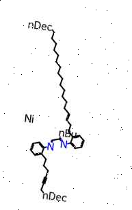 CCCCCCCCCCCC#CCCCc1ccccc1N=CC(CCCC)=Nc1ccccc1CCC=CCCCCCCCCCCCCCCCCCCCCCCCC.[Ni]